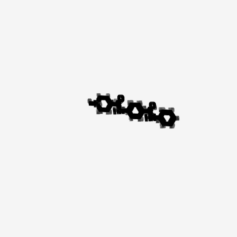 CN1CCC(C(=O)Nc2ccc(C(=O)Nc3ccccc3)cc2)CC1